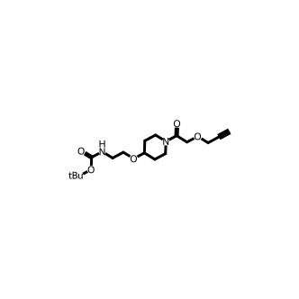 C#CCOCC(=O)N1CCC(OCCNC(=O)OC(C)(C)C)CC1